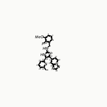 COc1cccc(CNc2nc(-c3ccn4ncnc4c3)c(-c3cccc(C)n3)[nH]2)c1F